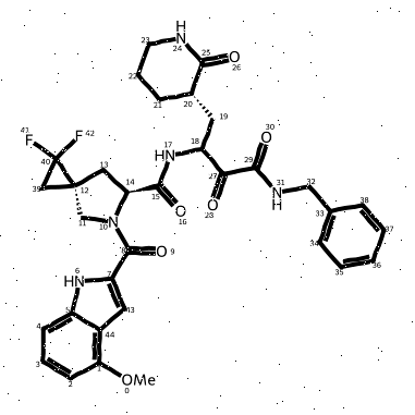 COc1cccc2[nH]c(C(=O)N3C[C@]4(C[C@H]3C(=O)NC(C[C@@H]3CCCNC3=O)C(=O)C(=O)NCc3ccccc3)CC4(F)F)cc12